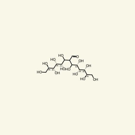 O=[C]C(C(O)[C@H](O)[C@@H](O)[C@H](O)[C@H](O)CO)C(O)[C@H](O)[C@@H](O)[C@H](O)[C@H](O)CO